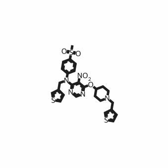 CS(=O)(=O)c1ccc(N(Cc2ccsc2)c2ncnc(OC3CCN(Cc4ccsc4)CC3)c2[N+](=O)[O-])cc1